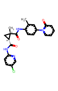 Cc1cc(-n2ccccc2=O)ccc1NC(=O)[C@@]1(C)C[C@H]1C(=O)Nc1ccc(Cl)cn1